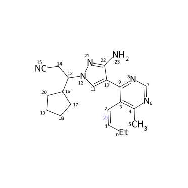 CC/C=C\c1c(C)ncnc1-c1cn(C(CC#N)C2CCCC2)nc1N